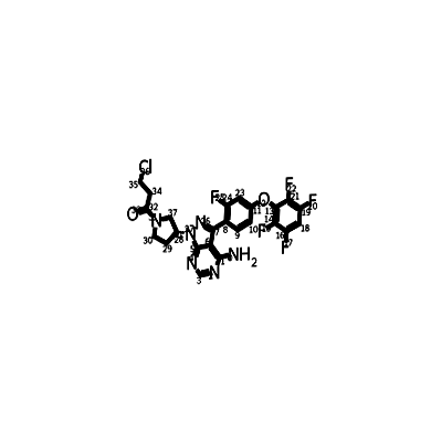 Nc1ncnc2c1c(-c1ccc(Oc3c(F)c(F)cc(F)c3F)cc1F)nn2[C@@H]1CCN(C(=O)CCCl)C1